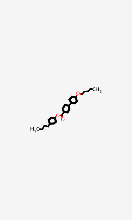 CCCCCOc1ccc(-c2ccc(C(=O)Oc3ccc(CCCC)cc3)cc2)cc1